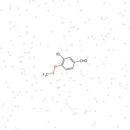 CCc1cc(C=O)ccc1OSC(F)(F)F